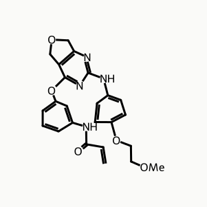 C=CC(=O)Nc1cccc(Oc2nc(Nc3ccc(OCCOC)cc3)nc3c2COC3)c1